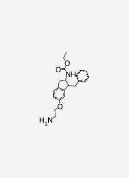 CCOC(=O)NC1Cc2ccc(OCCN)cc2C1Cc1ccccc1